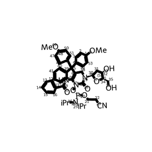 COc1ccc(C(C2=C(NC(=O)c3ccccc3)N(OP(OCCC#N)N(C(C)C)C(C)C)C(=O)N([C@H]3C[C@H](O)[C@@H](CO)O3)C2)(c2ccccc2)c2ccc(OC)cc2)cc1